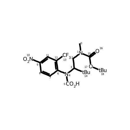 CN(CC(N(C(=O)O)c1ccc([N+](=O)[O-])cc1C(F)(F)F)C(C)(C)C)C(=O)OC(C)(C)C